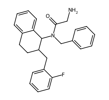 NCC(=O)N(Cc1ccccc1)C1c2ccccc2CCC1Cc1ccccc1F